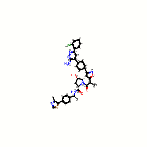 Cc1ncsc1-c1ccc([C@H](C)NC(=O)[C@@H]2C[C@@H](O)CN2C(=O)C(c2cc(-c3ccc(-c4cc(-c5ccccc5F)nnc4N)cc3)no2)C(C)C)cc1